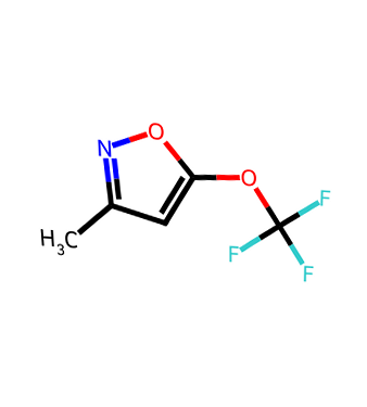 Cc1cc(OC(F)(F)F)on1